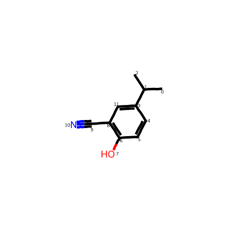 CC(C)c1ccc(O)c(C#N)c1